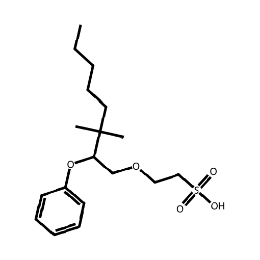 CCCCCC(C)(C)C(COCCS(=O)(=O)O)Oc1ccccc1